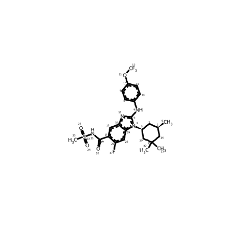 C[C@@H]1C[C@H](n2c(Nc3ccc(OC(F)(F)F)cc3)nc3cc(C(=O)NS(C)(=O)=O)c(F)cc32)CC(C)(C)C1